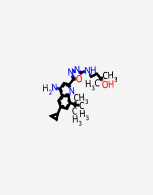 CC(C)(O)CCNc1nnc(-c2cc(N)c3cc(C4CC4)cc(C(C)(C)C)c3n2)o1